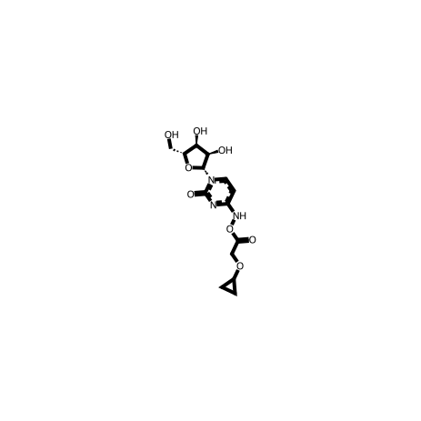 O=C(COC1CC1)ONc1ccn([C@@H]2O[C@H](CO)[C@@H](O)[C@H]2O)c(=O)n1